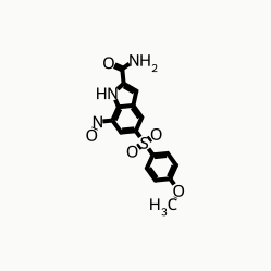 COc1ccc(S(=O)(=O)c2cc(N=O)c3[nH]c(C(N)=O)cc3c2)cc1